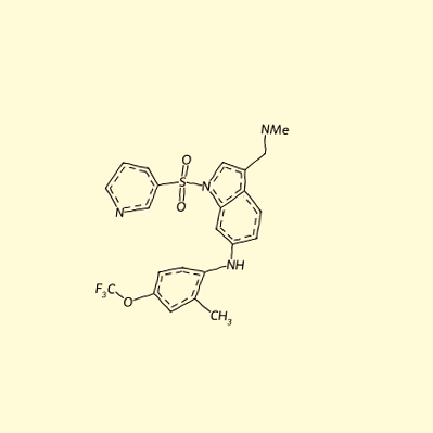 CNCc1cn(S(=O)(=O)c2cccnc2)c2cc(Nc3ccc(OC(F)(F)F)cc3C)ccc12